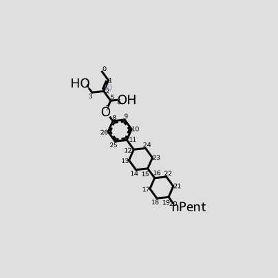 C/C=C(\CO)C(O)Oc1ccc(C2CCC(C3CCC(CCCCC)CC3)CC2)cc1